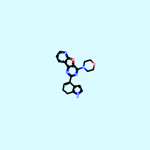 C1=C(c2nc(N3CCOCC3)c3oc4ncccc4c3n2)c2cc[nH]c2CC1